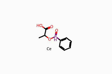 CC(O[PH](=O)c1ccccc1)C(=O)O.[Ce]